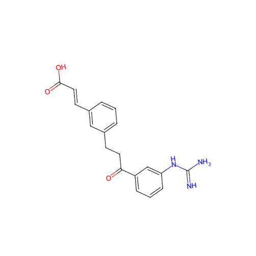 N=C(N)Nc1cccc(C(=O)CCc2cccc(/C=C/C(=O)O)c2)c1